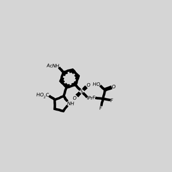 CC(=O)Nc1ccc(S(=O)(=O)C(C)C)c(C2NCCC2C(=O)O)c1.O=C(O)C(F)(F)F